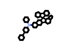 c1ccc(-c2ccc(N(c3ccccc3)c3ccc4cc5c(cc4c3)C3(c4ccccc4-c4ccccc43)c3c-5ccc4ccccc34)cc2)cc1